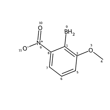 Bc1c(OC)cccc1[N+](=O)[O-]